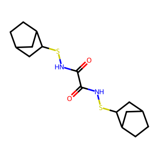 O=C(NSC1CC2CCC1C2)C(=O)NSC1CC2CCC1C2